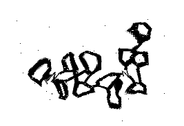 c1ccc(-c2ccc(N(c3ccccc3-c3ccccc3)c3ccc(-c4cccc5c4-c4ccccc4C54c5ccccc5N(c5ccccc5)c5ccccc54)c4ccccc34)cc2)cc1